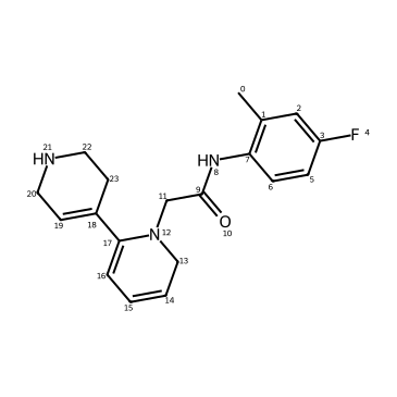 Cc1cc(F)ccc1NC(=O)CN1CC=CC=C1C1=CCNCC1